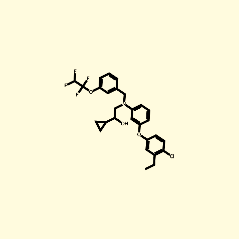 CCc1cc(Oc2cccc(N(Cc3cccc(OC(F)(F)C(F)F)c3)CC(O)C3CC3)c2)ccc1Cl